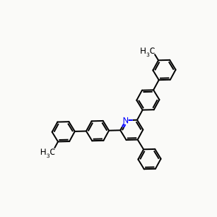 Cc1cccc(-c2ccc(-c3cc(-c4ccccc4)cc(-c4ccc(-c5cccc(C)c5)cc4)n3)cc2)c1